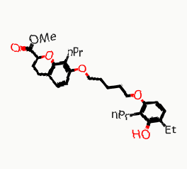 CCCc1c(OCCCCCOc2ccc3c(c2CCC)OC(C(=O)OC)CC3)ccc(CC)c1O